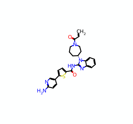 C=CC(=O)N1CCC[C@@H](n2c(NC(=O)c3ccc(-c4ccc(N)nc4)s3)nc3ccccc32)CC1